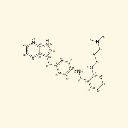 CN(C)CCCOc1ccccc1CNc1ccc(Cc2c[nH]c3ncccc23)cn1